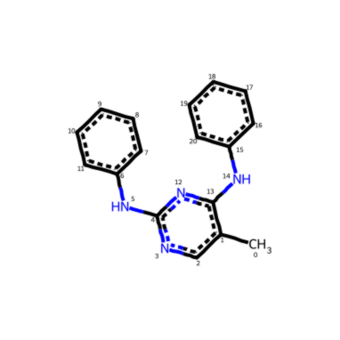 Cc1cnc(Nc2ccccc2)nc1Nc1cc[c]cc1